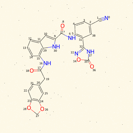 N#Cc1ccc(NC(=O)c2cc3cccc(NC(=O)Cc4ccc5c(c4)OCO5)c3[nH]2)c(-c2noc(=O)[nH]2)c1